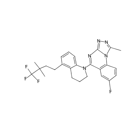 Cc1nnc2nc(N3CCCc4c(CCC(C)(C)C(F)(F)F)cccc43)c3cc(F)ccc3n12